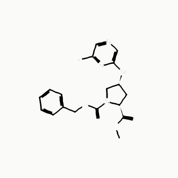 COC(=O)[C@@H]1C[C@H](Nc2cncc(Br)n2)CN1C(=O)OCc1ccccc1